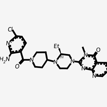 CC[C@H]1CN(c2nc3ncccc3c(=O)n2C)CCN1C1CCN(C(=O)c2ccc(Cl)nc2N)CC1